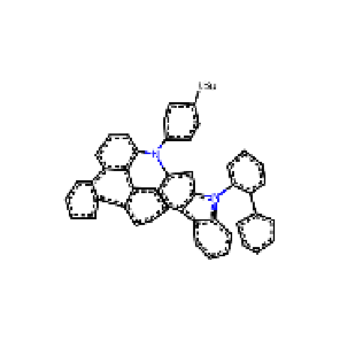 CC(C)(C)c1ccc(N(c2ccc3c4ccccc4n(-c4ccccc4-c4ccccc4)c3c2)c2cccc3c4ccccc4c4ccccc4c23)cc1